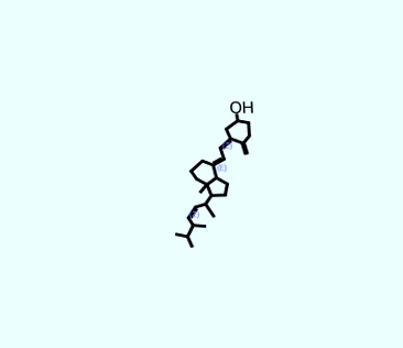 C=C1CCC(O)C/C1=C/C=C1\CCCC2(C)C1CCC2C(C)/C=C\C(C)C(C)C